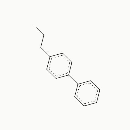 SCCc1ccc(-c2ccccc2)cc1